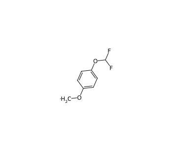 [CH2]Oc1ccc(OC(F)F)cc1